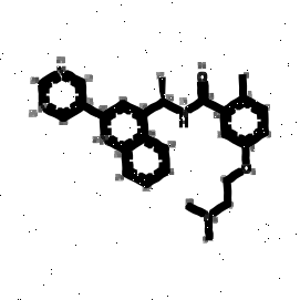 Cc1ccc(OCCN(C)C)cc1C(=O)N[C@H](C)c1cc(-c2cncnc2)nc2ccccc12